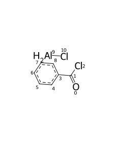 O=C(Cl)c1ccccc1.[AlH2][Cl]